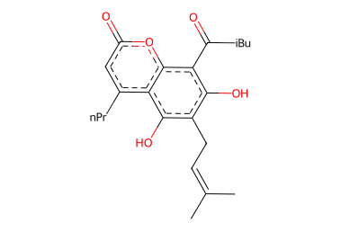 CCCc1cc(=O)oc2c(C(=O)C(C)CC)c(O)c(CC=C(C)C)c(O)c12